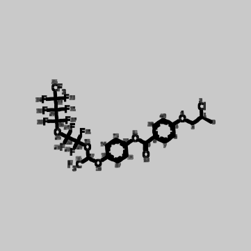 C[C@H](Cl)COc1ccc(C(=O)Oc2ccc(OC(OC(F)(F)C(F)(F)OC(F)(F)C(F)(F)C(F)(F)C(F)(F)F)C(F)(F)F)cc2)cc1